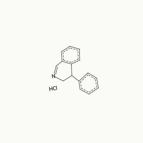 C1=NCC(c2ccccc2)c2ccccc21.Cl